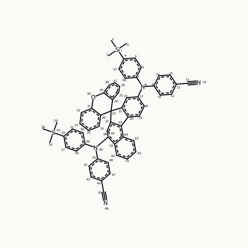 C[Si](C)(C)c1ccc(N(c2ccc(C#N)cc2)c2ccc3c(c2)C2(c4ccccc4Oc4ccccc42)c2cc(N(c4ccc(C#N)cc4)c4ccc([Si](C)(C)C)cc4)c4ccccc4c2-3)cc1